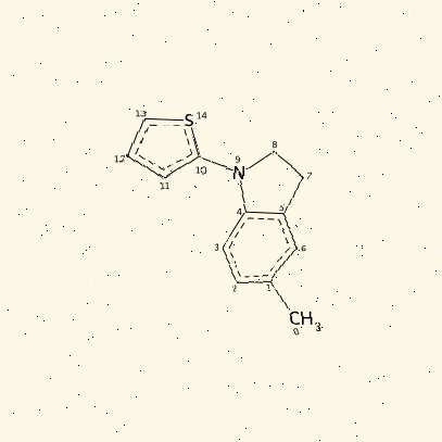 Cc1ccc2c(c1)CCN2c1cccs1